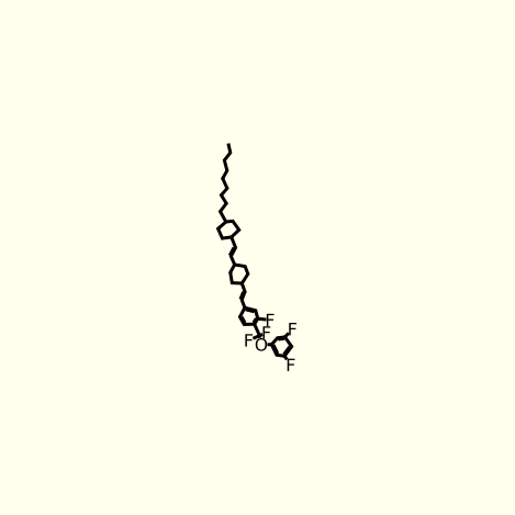 CCCCCCCCCC1CCC(/C=C/C2CCC(/C=C/c3ccc(C(F)(F)Oc4cc(F)cc(F)c4)c(F)c3)CC2)CC1